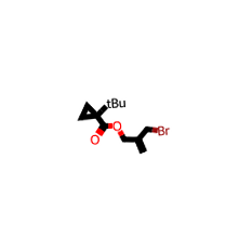 C=C(CBr)COC(=O)C1(C(C)(C)C)CC1